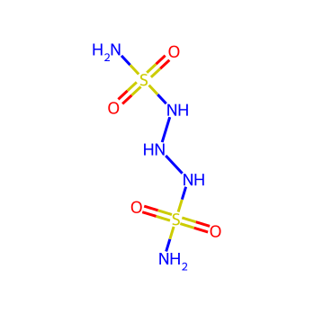 NS(=O)(=O)NNNS(N)(=O)=O